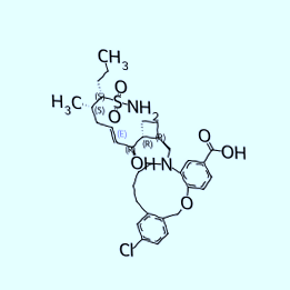 CCC[C@@H]([C@@H](C)C/C=C/[C@H](O)[C@@H]1CC[C@H]1CN1CCCCc2cc(Cl)ccc2COc2ccc(C(=O)O)cc21)S(N)(=O)=O